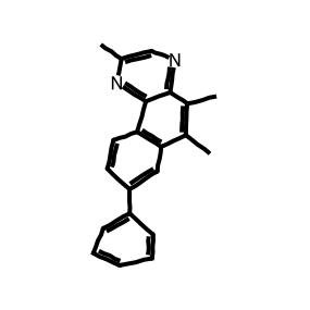 Cc1cnc2c(C)c(C)c3cc(-c4ccccc4)ccc3c2n1